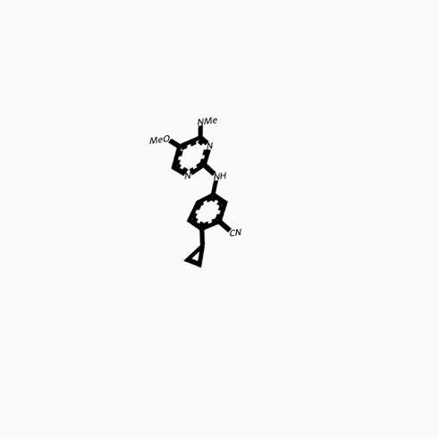 CNc1nc(Nc2ccc(C3CC3)c(C#N)c2)ncc1OC